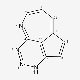 c1cnc2nn[nH]c3ccc(c1)c23